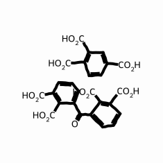 O=C(O)c1ccc(C(=O)O)c(C(=O)O)c1.O=C(O)c1cccc(C(=O)c2cccc(C(=O)O)c2C(=O)O)c1C(=O)O